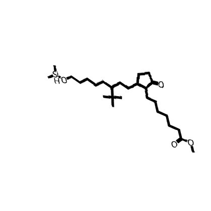 COC(=O)CCCCCCC1C(=O)CCC1CCC(CCCCCO[SiH](C)C)C(C)(C)C